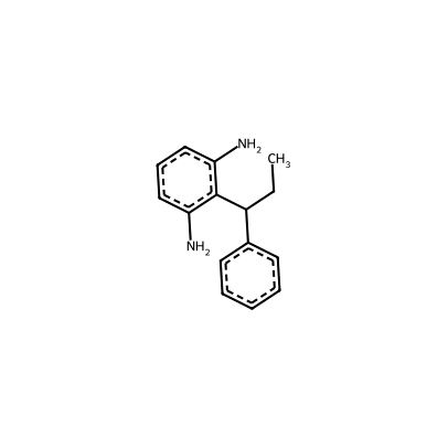 CCC(c1ccccc1)c1c(N)cccc1N